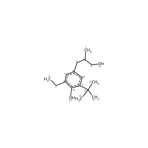 CCc1cc(CC(C)CO)cc(C(C)(C)C)c1O